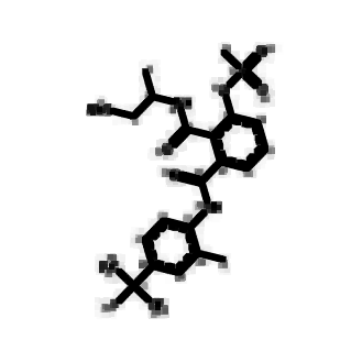 CSCC(C)NC(=O)c1c(OS(C)(=O)=O)cccc1C(=O)Nc1ccc(C(F)(C(F)(F)F)C(F)(F)F)cc1C